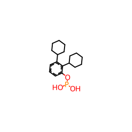 OP(O)Oc1cccc(C2CCCCC2)c1C1CCCCC1